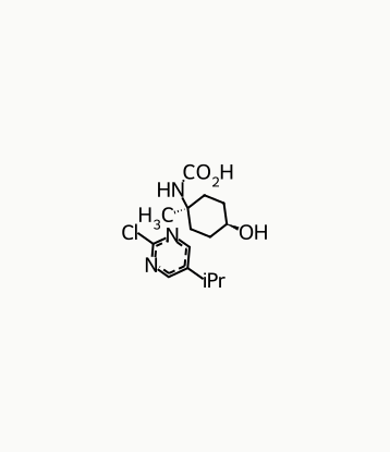 CC(C)c1cnc(Cl)nc1.C[C@]1(NC(=O)O)CC[C@@H](O)CC1